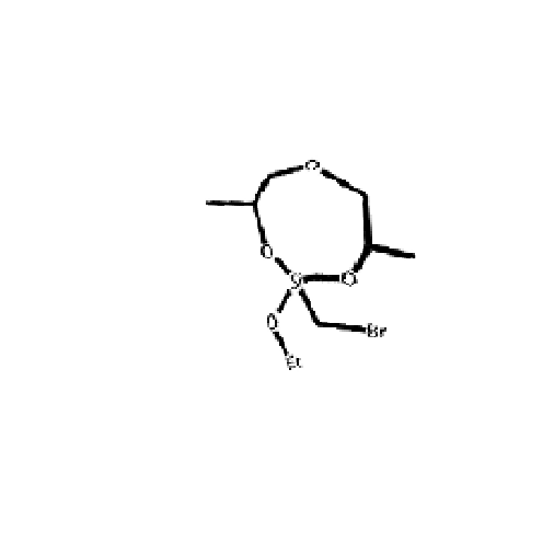 CCO[Si]1(CBr)OC(C)COCC(C)O1